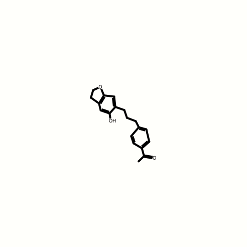 CC(=O)c1ccc(CCCc2cc3c(cc2O)CCO3)cc1